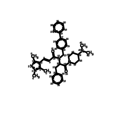 Cc1nn(C)c(C)c1C=CC(=O)N(Cc1ccc(-c2ccccn2)cc1)C(Cc1ccccc1)C(=O)N1CCC(N(C)C)CC1